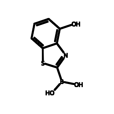 OB(O)c1nc2c(O)cccc2s1